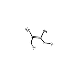 CC(CO)=C(O)CO